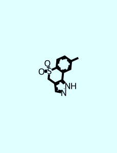 Cc1ccc2c(c1)-c1[nH]ncc1CS2(=O)=O